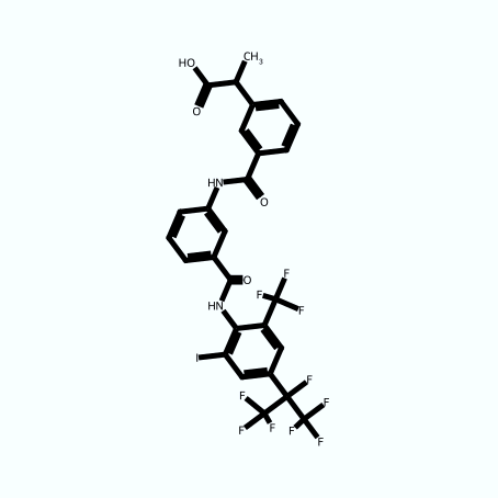 CC(C(=O)O)c1cccc(C(=O)Nc2cccc(C(=O)Nc3c(I)cc(C(F)(C(F)(F)F)C(F)(F)F)cc3C(F)(F)F)c2)c1